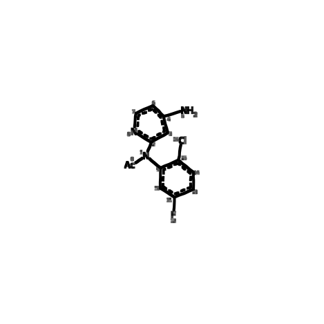 CC(=O)N(c1cc(N)ccn1)c1cc(F)ccc1Cl